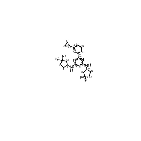 FC1(F)CCC(Nc2nc(NC3CCC(F)(F)C3)nc(-c3cccc(C4CC4)n3)n2)C1